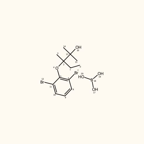 CCC(C)(Oc1c(Br)cccc1Br)C(C)(C)O.OB(O)O